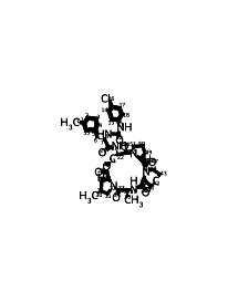 Cc1cccc(C[C@H](NC(=O)Nc2ccc(Cl)cc2)C(=O)N[C@H]2COC(=O)[C@@H]3C[C@@H](C)CN3C(=O)[C@H](C)NC(=O)[C@@H]3CCCCN3C(=O)[C@@H]3CCCN3C2=O)c1